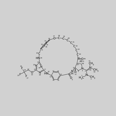 CN(C)C(N1C[C@@H]2NC(=O)c3ccc(cc3)Nc3nc(nc(OCC(F)(F)F)n3)NCc3ccc(cc3)OCCCCCCCC(=O)[C@H]2C1)=[N+](C)C